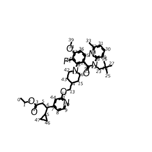 CCOC(=O)CC(c1ccnc(OCC2CCN(c3c(C(=O)N(CC(C)(C)C)c4cccc(C)n4)ccc(OC)c3F)CC2)c1)C1CC1